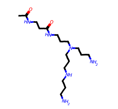 CC(=O)NCCC(=O)NCCCN(CCCN)CCCNCCCN